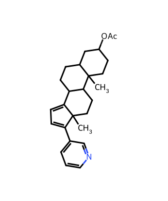 CC(=O)OC1CCC2(C)C(CCC3C4=CC=C(c5cccnc5)C4(C)CCC32)C1